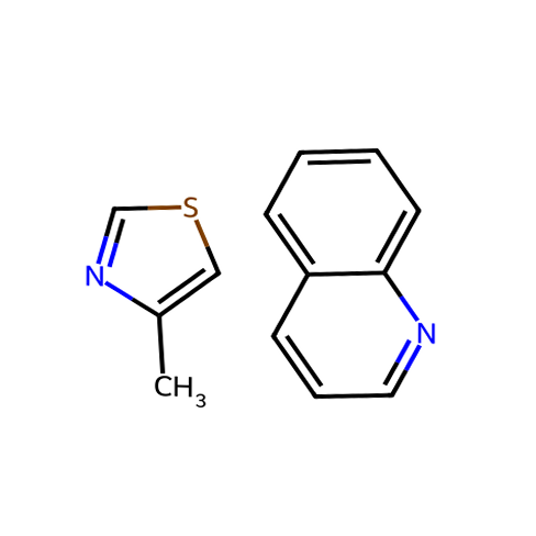 Cc1cscn1.c1ccc2ncccc2c1